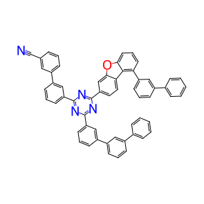 N#Cc1cccc(-c2cccc(-c3nc(-c4cccc(-c5cccc(-c6ccccc6)c5)c4)nc(-c4ccc5c(c4)oc4cccc(-c6cccc(-c7ccccc7)c6)c45)n3)c2)c1